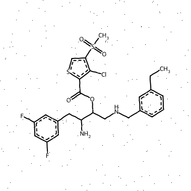 CCc1cccc(CNCC(OC(=O)c2scc(S(C)(=O)=O)c2Cl)C(N)Cc2cc(F)cc(F)c2)c1